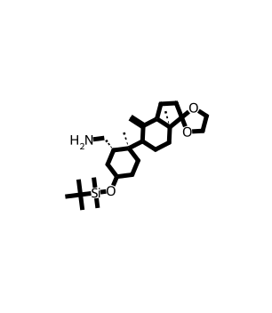 C=C1C2CCC3(OCCO3)[C@@]2(C)CCC1[C@@]1(C)CCC(O[Si](C)(C)C(C)(C)C)C[C@@H]1CN